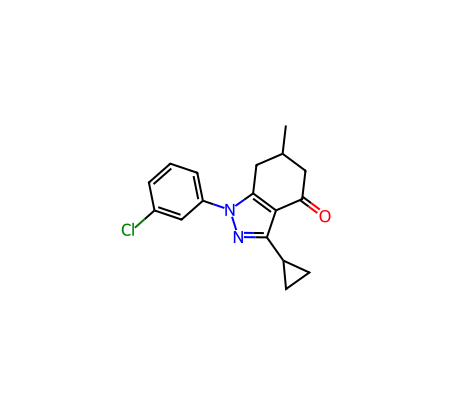 CC1CC(=O)c2c(C3CC3)nn(-c3cccc(Cl)c3)c2C1